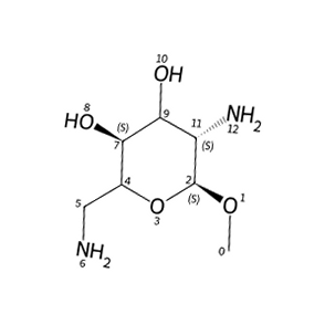 CO[C@H]1OC(CN)[C@@H](O)C(O)[C@@H]1N